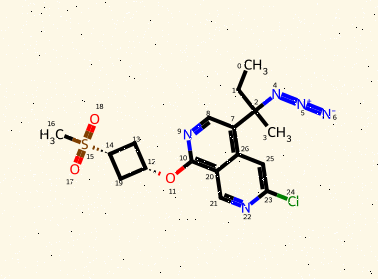 CCC(C)(N=[N+]=[N-])c1cnc(O[C@H]2C[C@@H](S(C)(=O)=O)C2)c2cnc(Cl)cc12